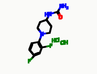 Cl.Cl.NC(=O)NC1CCN(c2ccc(F)cc2F)CC1